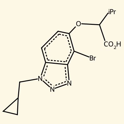 CC(C)C(Oc1ccc2c(nnn2CC2CC2)c1Br)C(=O)O